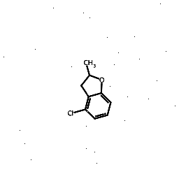 CC1Cc2c(Cl)cccc2O1